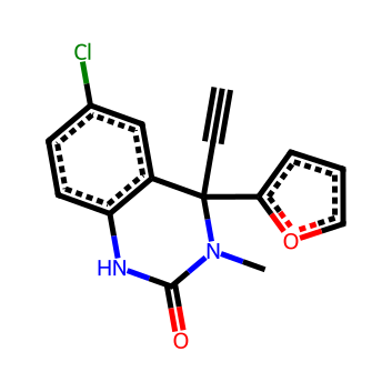 C#CC1(c2ccco2)c2cc(Cl)ccc2NC(=O)N1C